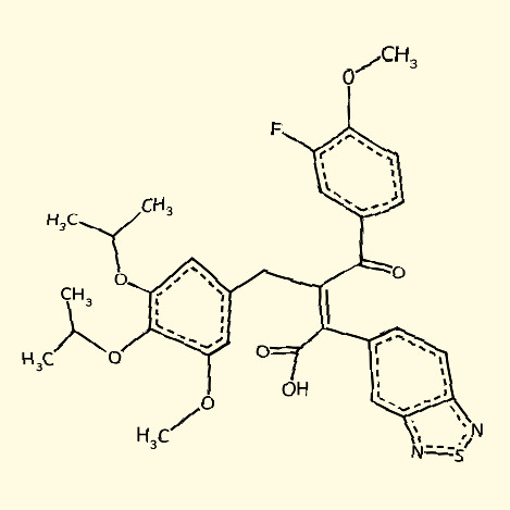 COc1ccc(C(=O)/C(Cc2cc(OC)c(OC(C)C)c(OC(C)C)c2)=C(/C(=O)O)c2ccc3nsnc3c2)cc1F